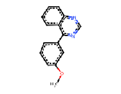 COc1cccc(-c2ncnc3ccccc23)c1